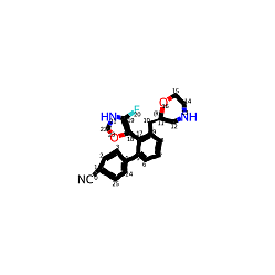 N#Cc1ccc(-c2cccc(C[C@@H]3CNCCO3)c2C2=C(F)NCO2)cc1